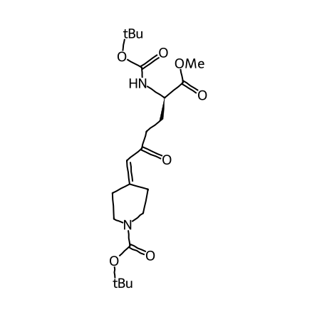 COC(=O)[C@@H](CCC(=O)C=C1CCN(C(=O)OC(C)(C)C)CC1)NC(=O)OC(C)(C)C